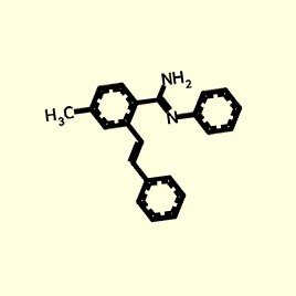 Cc1ccc(C(N)=Nc2ccccc2)c(C=Cc2ccccc2)c1